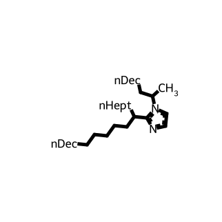 CCCCCCCCCCCCCCCC(CCCCCCC)c1nccn1C(C)CCCCCCCCCCC